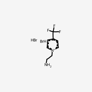 Br.Br.NCC[n+]1ccc(C(F)(F)F)cc1